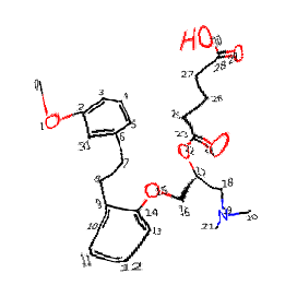 COc1cccc(CCc2ccccc2OC[C@H](CN(C)C)OC(=O)CCCC(=O)O)c1